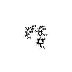 [N-]=[N+]=N[C@]1(COP(=O)(O)OP(=O)(O)OP(=O)(O)O)O[C@@H](n2cc(F)c(N)nc2=S)[C@@H](O)C1O